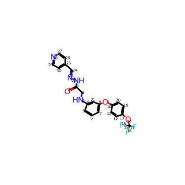 O=C(CNc1cccc(Oc2ccc(OC(F)(F)F)cc2)c1)N/N=C/c1ccncc1